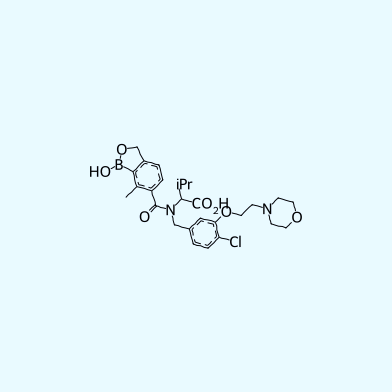 Cc1c(C(=O)N(Cc2ccc(Cl)c(OCCN3CCOCC3)c2)C(C(=O)O)C(C)C)ccc2c1B(O)OC2